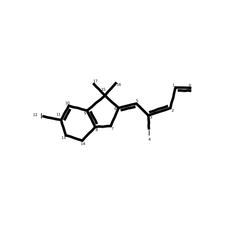 C=C/C=C(I)\C=C1/CC2=C(C=C(I)CC2)C1(C)C